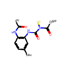 CCCCc1ccc(NC(=O)CCC)c(NC(=O)N(S)C(=O)OC)c1